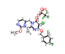 COc1nccc(Cn2c(C)nc(OCc3ccc(F)cc3F)c(Br)c2=O)n1.O=C(O)C(F)(F)F